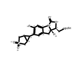 CC(=O)NC[C@@H]1OC(=O)N2c3cc(F)c(C4C5CS(=O)(=O)CC54)cc3C[C@@H]12